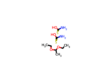 CCOC(C)OCC.NC(O)=S.NC(O)=S